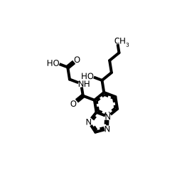 CCCCC(O)c1ccn2ncnc2c1C(=O)NCC(=O)O